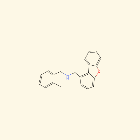 Cc1ccccc1CNCc1cccc2oc3ccccc3c12